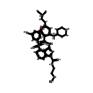 CCOCCOC(=O)n1nc(NC(=O)c2ccc(CCN(C)C)cc2NC2CCOCC2)c2c(S(=O)(=O)c3cc(F)cc(F)c3)cccc21